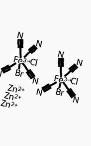 N#[C][Fe-3]([Cl])([Br])([C]#N)([C]#N)[C]#N.N#[C][Fe-3]([Cl])([Br])([C]#N)([C]#N)[C]#N.[Zn+2].[Zn+2].[Zn+2]